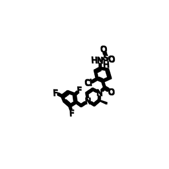 C[C@H]1CN(Cc2c(F)cc(F)cc2F)CCN1C(=O)c1ccc(N[SH](=O)=O)cc1Cl